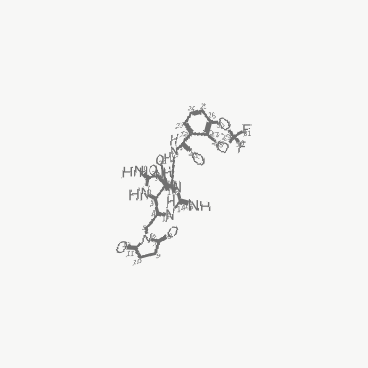 N=C1NC2C(CN3C(=O)CCC3=O)NC(=N)N3CC(NC(=O)c4cccc5c4OC(F)(F)O5)C(O)(O)C23N1